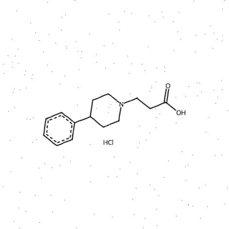 Cl.O=C(O)CCN1CCC(c2ccccc2)CC1